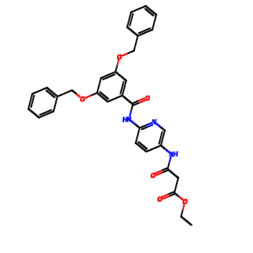 CCOC(=O)CC(=O)Nc1ccc(NC(=O)c2cc(OCc3ccccc3)cc(OCc3ccccc3)c2)nc1